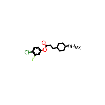 CCCCCCC1CCC(CCC(=O)Oc2ccc(Cl)c(F)c2)CC1